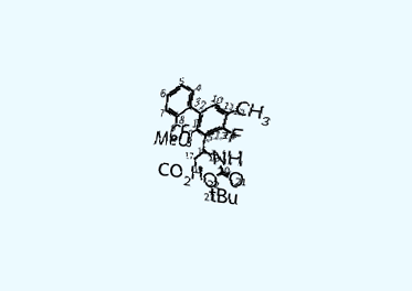 COc1c(-c2ccccc2C(F)(F)F)cc(C)c(F)c1C(CC(=O)O)NC(=O)OC(C)(C)C